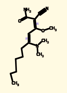 CCCCCC/C(=C/C(OC)=C(/C#N)C(N)=O)N(C)C